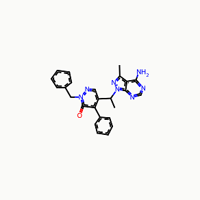 Cc1nn(C(C)c2cnn(Cc3ccccc3)c(=O)c2-c2ccccc2)c2ncnc(N)c12